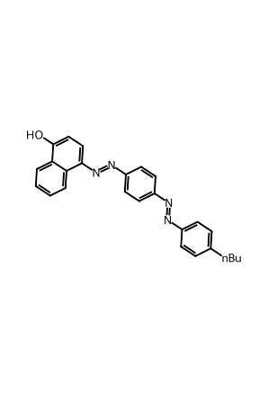 CCCCc1ccc(N=Nc2ccc(N=Nc3ccc(O)c4ccccc34)cc2)cc1